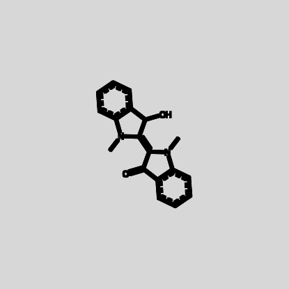 CN1/C(=C2\C(O)c3ccccc3N2C)C(=O)c2ccccc21